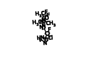 Cc1c(OC(F)(F)C(C)F)nn(C)c1-n1cc(-c2cc(C(=O)NC3(C#N)CC3)c(Cl)cc2F)cn1